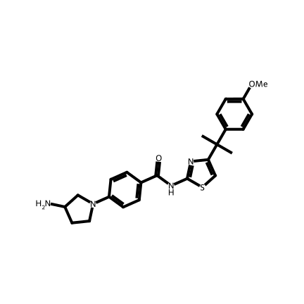 COc1ccc(C(C)(C)c2csc(NC(=O)c3ccc(N4CCC(N)C4)cc3)n2)cc1